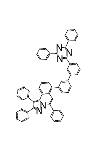 c1ccc(-c2nc(-c3ccccc3)nc(-c3cccc(-c4cccc(-c5cccc6c5cc(-c5ccccc5)n5nc(-c7ccccc7)c(-c7ccccc7)c65)c4)c3)n2)cc1